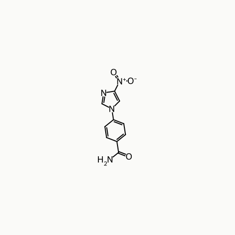 NC(=O)c1ccc(-n2cnc([N+](=O)[O-])c2)cc1